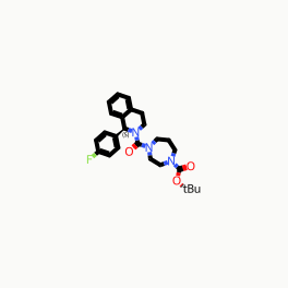 CC(C)(C)OC(=O)N1CCCN(C(=O)N2CCc3ccccc3[C@@H]2c2ccc(F)cc2)CC1